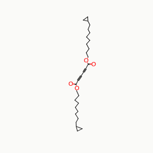 O=C(C#CC#CC(=O)OCCCCCCCCCC1CC1)OCCCCCCCCCC1CC1